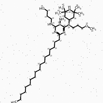 CCCCCCCCCCCCCCCCCCC1=NC(NCCCO)N(N)C(N(CCCOC)C2CC(C)(C)NC(C)(C)C2)=N1